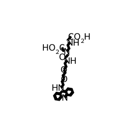 O=C(O)CNCCN(CC(=O)O)CC(=O)NCCOCCOCCNc1c2ccccc2nc2ccccc12